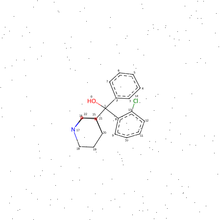 OC(c1ccccc1)(c1ccccc1Cl)C1CN2CCC1CC2